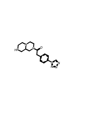 O=C(Cc1ccc(-n2cnnn2)cc1)N1CCN2CCNCC2C1